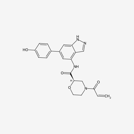 C=CC(=O)N1CCO[C@@H](C(=O)Nc2cc(-c3ccc(O)cc3)cc3[nH]ncc23)C1